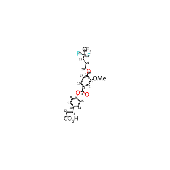 COc1cc(C(=O)Oc2ccc(/C=C/C(=O)O)cc2)ccc1OCCCC(F)(F)C(F)(F)F